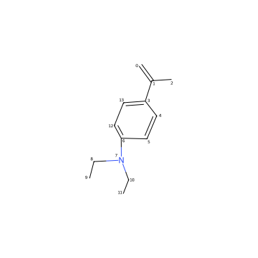 C=C(C)c1ccc(N(CC)CC)cc1